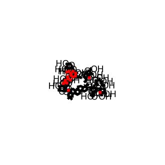 CC[C@H](C)[C@H](C[C@H](O)CC(=O)OC1C(O)C(C)OC(OC(=O)[C@]23CCC(C)(C)CC2C2=CCC4[C@@]5(C)CC[C@H](OC6OC(C(=O)O)C(O)C(OC7OCC(O)C(O)C7O)C6OC6OC(CO)C(O)C(O)C6O)[C@@](C)(C=O)C5CC[C@@]4(C)[C@]2(C)C[C@H]3C)C1OC1OC(C)C(OC2OCC(O)C(OC3OCC(O)C(O)C3O)C2O)C(O)C1O)OC(=O)C[C@@H](O)C[C@H](OC1OC(CO)C(O)C1O)[C@@H](C)CC